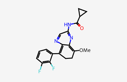 COC1=c2nc(NC(=O)C3CC3)cnc2=C(c2cccc(F)c2F)CC1